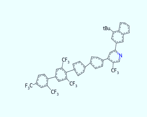 CC(C)(C)c1cc(-c2cc(-c3ccc(-c4ccc(-c5c(C(F)(F)F)cc(-c6ccc(C(F)(F)F)cc6C(F)(F)F)cc5C(F)(F)F)cc4)cc3)c(C(F)(F)F)cn2)cc2ccccc12